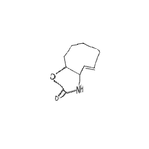 O=C1NC2/C=C/CCCCC2O1